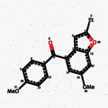 CCc1cc2c(C(=O)c3ccc(OC)cc3)cc(OC)cc2o1